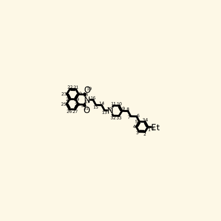 CCc1cccc(CCCC2=CCN(CCCCN3C(=O)c4cccc5cccc(c45)C3=O)CC2)c1